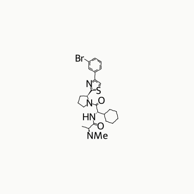 CN[C@@H](C)C(=O)N[C@H](C(=O)N1CCC[C@H]1c1nc(-c2cccc(Br)c2)cs1)C1CCCCC1